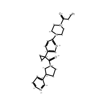 CC(C)CC(=O)N1CCN(c2ccc(C3(C(=O)N4CCC(c5cccnc5)C4)CC3)cn2)CC1